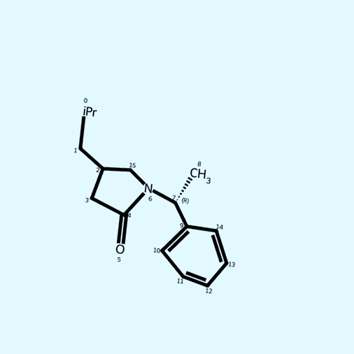 CC(C)CC1CC(=O)N([C@H](C)c2ccccc2)C1